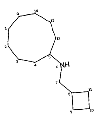 C1CCCCC(NCC2CCC2)CCC1